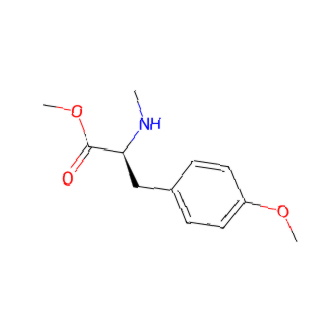 CN[C@@H](Cc1ccc(OC)cc1)C(=O)OC